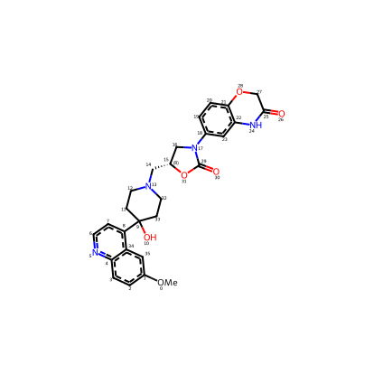 COc1ccc2nccc(C3(O)CCN(C[C@@H]4CN(c5ccc6c(c5)NC(=O)CO6)C(=O)O4)CC3)c2c1